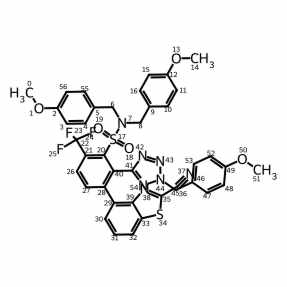 COc1ccc(CN(Cc2ccc(OC)cc2)S(=O)(=O)c2c(C(F)(F)F)ccc(-c3cccc4sc(C#N)nc34)c2-c2nnn(Cc3ccc(OC)cc3)n2)cc1